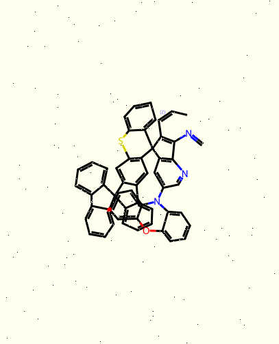 C=NC1=C(/C=C\C)C2(c3ccccc3Sc3cc4c(cc32)-c2ccccc2C42c3ccccc3-c3ccccc32)c2cc(N3c4ccccc4Oc4ccccc43)cnc21